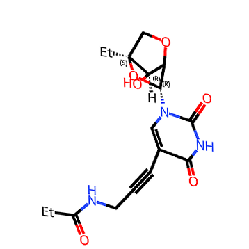 CCC(=O)NCC#Cc1cn([C@@H]2O[C@@]3(CC)COC2[C@H]3O)c(=O)[nH]c1=O